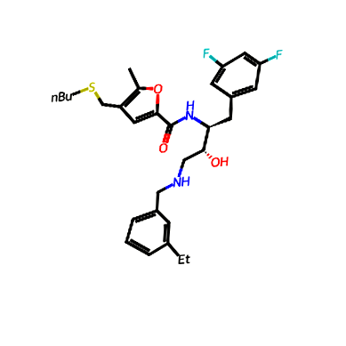 CCCCSCc1cc(C(=O)N[C@@H](Cc2cc(F)cc(F)c2)[C@H](O)CNCc2cccc(CC)c2)oc1C